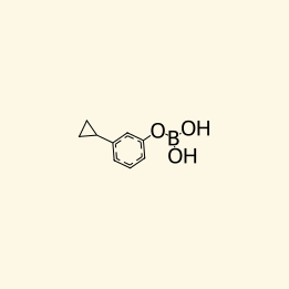 OB(O)Oc1cccc(C2CC2)c1